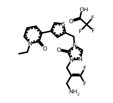 CCn1cccc(-c2csc(Cn3cnn(CC(CN)=C(F)F)c3=O)c2)c1=O.O=C(O)C(F)(F)F